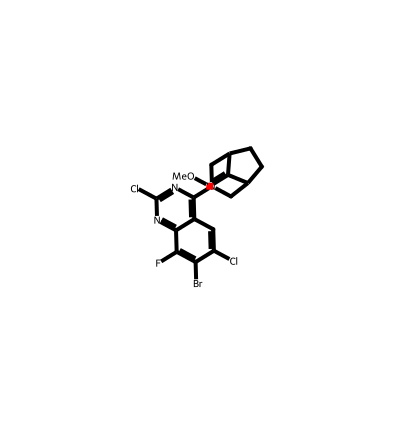 CON=C1C2CCC1CN(c1nc(Cl)nc3c(F)c(Br)c(Cl)cc13)C2